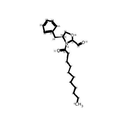 CCCCCCCCCCC(=O)N1C(C=O)OC[C@@H]1Cc1ccccc1